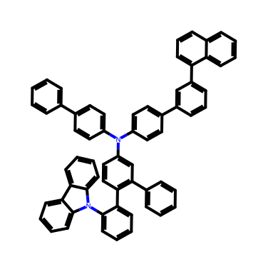 c1ccc(-c2ccc(N(c3ccc(-c4cccc(-c5cccc6ccccc56)c4)cc3)c3ccc(-c4ccccc4-n4c5ccccc5c5ccccc54)c(-c4ccccc4)c3)cc2)cc1